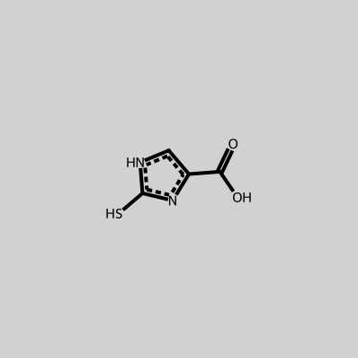 O=C(O)c1c[nH]c(S)n1